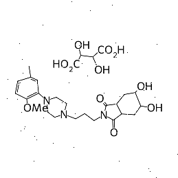 COc1ccc(C)cc1N1CCN(CCCN2C(=O)C3CC(O)C(O)CC3C2=O)CC1.O=C(O)C(O)C(O)C(=O)O